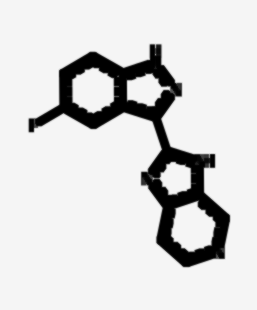 Fc1ccc2[nH]nc(-c3nc4ccncc4[nH]3)c2c1